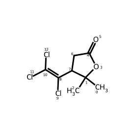 CC1(C)OC(=O)CC1C(Cl)=C(Cl)Cl